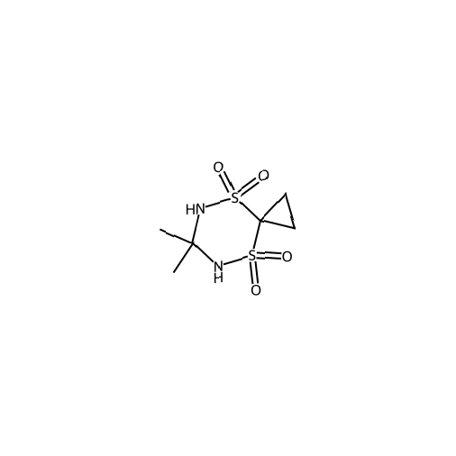 CC1(C)NS(=O)(=O)C2(CC2)S(=O)(=O)N1